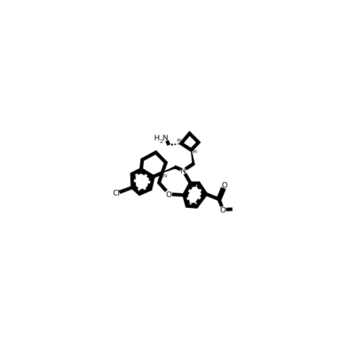 COC(=O)c1ccc2c(c1)N(C[C@@H]1CC[C@H]1CN)C[C@@]1(CCCc3cc(Cl)ccc31)CO2